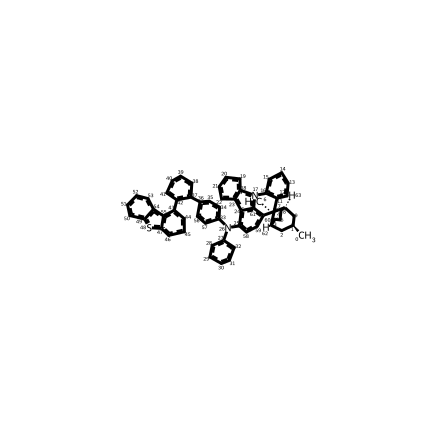 C[C@H]1C[C@@H]2C[C@@H](C)C[C@H](C1)C21c2ccccc2-n2c3ccccc3c3c(N(c4ccccc4)c4ccc(-c5ccccc5-c5cccc6sc7ccccc7c56)cc4)ccc1c32